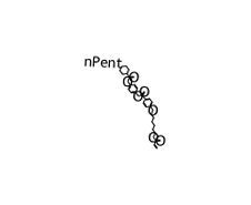 C=CC(=O)OCCCCCCOc1ccc(C(=O)Oc2ccc(OC(=O)C3CCC(CCCCC)CC3)cc2)cc1